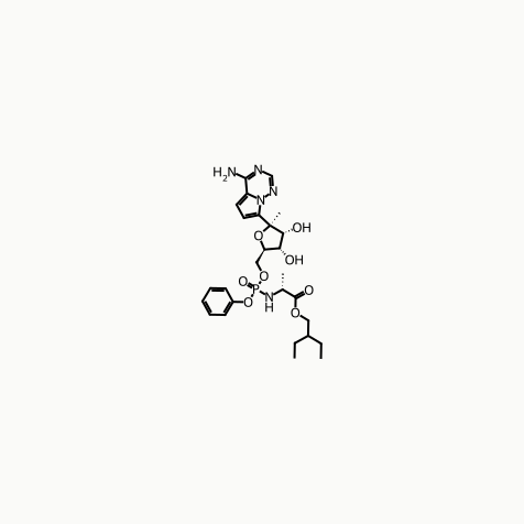 CCC(CC)COC(=O)[C@@H](C)NP(=O)(OC[C@H]1O[C@@](C)(c2ccc3c(N)ncnn23)[C@H](O)[C@@H]1O)Oc1ccccc1